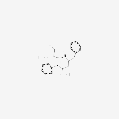 CC(C)C[C@H](NC(=O)C(Cc1ccccc1)CC(Cc1ccccc1)C(=O)O)C(=O)O